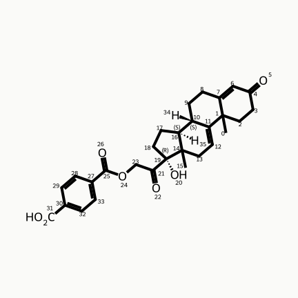 CC12CCC(=O)C=C1CC[C@@H]1C2=CCC2(C)[C@H]1CC[C@]2(O)C(=O)COC(=O)c1ccc(C(=O)O)cc1